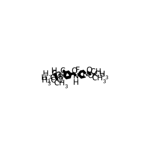 Cc1cc(C(=O)NC2CCN(C(=O)OC(C)(C)C)CC2F)ccc1B1OC(C)(C)C(C)(C)O1